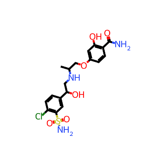 CC(COc1ccc(C(N)=O)c(O)c1)NCC(O)c1ccc(Cl)c(S(N)(=O)=O)c1